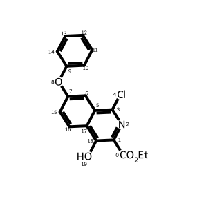 CCOC(=O)c1nc(Cl)c2cc(Oc3ccccc3)ccc2c1O